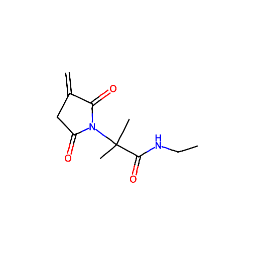 C=C1CC(=O)N(C(C)(C)C(=O)NCC)C1=O